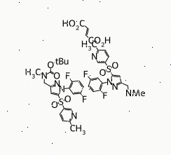 CNCc1cc(S(=O)(=O)c2ccc(C)nc2)n(-c2cc(F)ccc2F)n1.Cc1ccc(S(=O)(=O)c2cc(CN(C)C(=O)OC(C)(C)C)nn2-c2cc(F)ccc2F)cn1.O=C(O)/C=C/C(=O)O